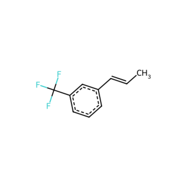 CC=Cc1cccc(C(F)(F)F)c1